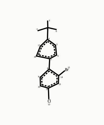 CC(C)(C)c1ccc(-c2ccc(Cl)cc2Br)cc1